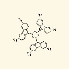 [2H]c1ccc2c(c1)c1cc([2H])ccc1n2-c1cc(-n2c3ccc([2H])cc3c3cc([2H])ccc32)cc(-n2c3ccc([2H])cc3c3cc([2H])ccc32)c1